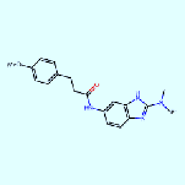 COc1ccc(CCC(=O)Nc2ccc3nc(N(C)C(C)C)[nH]c3c2)cc1